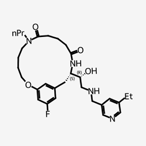 CCCN1CCCCOc2cc(F)cc(c2)C[C@@H]([C@H](O)CNCc2cncc(CC)c2)NC(=O)CCCC1=O